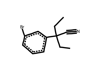 CCC(C#N)(CC)c1cccc(Br)c1